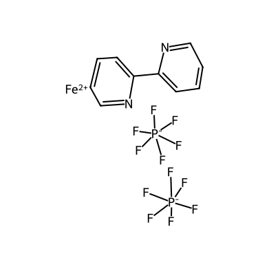 F[P-](F)(F)(F)(F)F.F[P-](F)(F)(F)(F)F.[Fe+2].c1ccc(-c2ccccn2)nc1